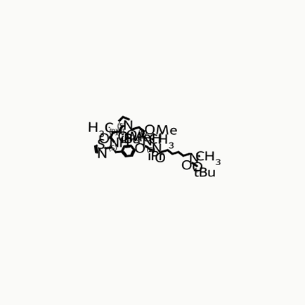 CC[C@H](C)[C@@H]([C@@H](CC(=O)N1CCC[C@H]1[C@H](OC)[C@@H](C)C(=O)N[C@@H](Cc1ccccc1)c1nccs1)OC)N(C)C(=O)[C@@H](NC(=O)CCCCCN(C)C(=O)OC(C)(C)C)C(C)C